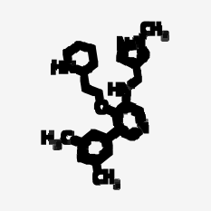 Cc1cc(C)cc(-c2cncc(NCc3cnn(C)c3)c2OCCC2CCCCN2)c1